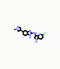 Cn1cc(-c2ccc3[nH]c(Nc4c[nH]c5ccc(Cl)nc45)nc3c2)cn1